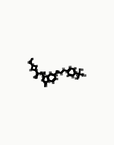 COC1CC(C(=O)Nc2c[nH]c3ccc(OCCc4ccc(C(F)(F)F)cc4)cc23)C1